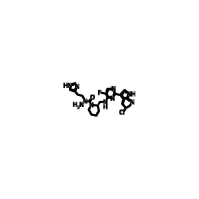 NN(CCc1c[nH]cn1)C(=O)N1CCCC[C@@H]1CNc1nc(-c2c[nH]c3c2=CC(Cl)CN=3)ncc1F